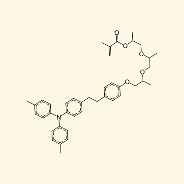 C=C(C)C(=O)OC(C)COC(C)COC(C)COc1ccc(CCc2ccc(N(c3ccc(C)cc3)c3ccc(C)cc3)cc2)cc1